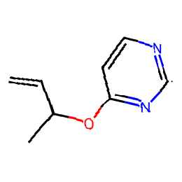 C=CC(C)Oc1ccn[c]n1